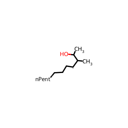 CCCCCCCC[CH]C(C)C(C)O